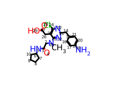 CN(CC(=O)NC1CCCC1)c1nc(Cc2ccc(N)cc2)nc(Cl)c1CC(=O)O